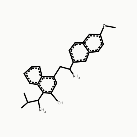 COc1ccc2cc(C(N)Cc3cc(O)c(C(N)C(C)C)c4ccccc34)ccc2c1